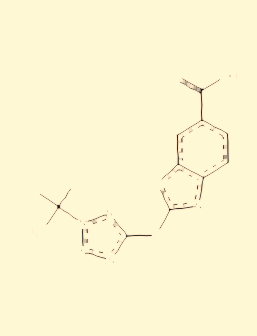 CC(C)(C)n1nnc(Sc2nc3ccc(C(=O)O)cc3s2)n1